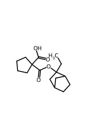 CCC1(OC(=O)C2(C(=O)O)CCCC2)CC2CCC1C2